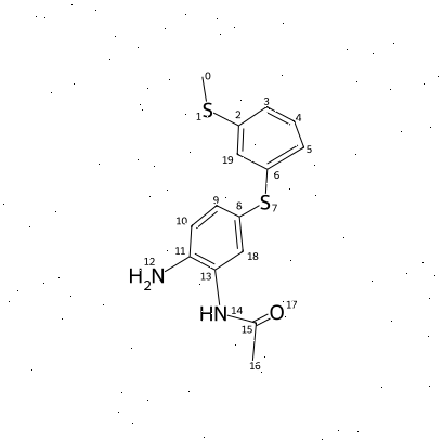 CSc1cccc(Sc2ccc(N)c(NC(C)=O)c2)c1